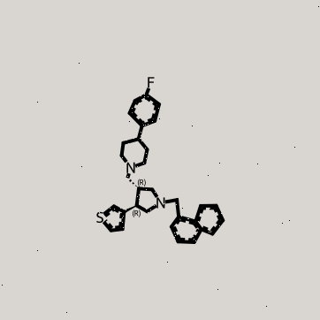 Fc1ccc(C2CCN(C[C@@H]3CN(Cc4cccc5ccccc45)C[C@H]3c3ccsc3)CC2)cc1